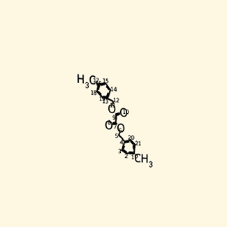 Cc1ccc(COC(=O)C(=O)OCc2ccc(C)cc2)cc1